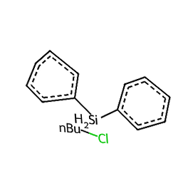 CCCCCl.c1ccc([SiH2]c2ccccc2)cc1